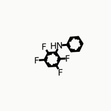 Fc1cc(F)c(F)c(Nc2ccccc2)c1F